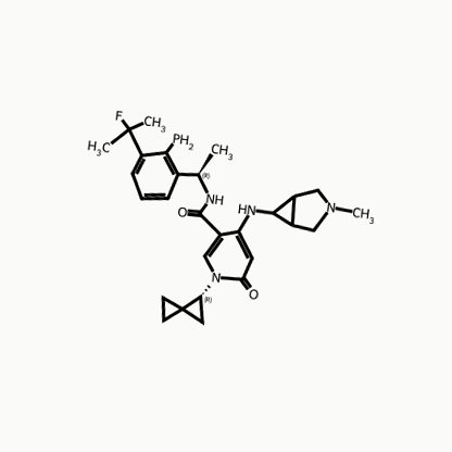 C[C@@H](NC(=O)c1cn([C@@H]2CC23CC3)c(=O)cc1NC1C2CN(C)CC21)c1cccc(C(C)(C)F)c1P